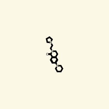 O=C1c2ccc(N3CCCCC3)cc2CCN1CCN1CCCC1